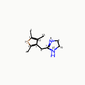 Cc1sc(C)c(CC2=NCCN2)c1C